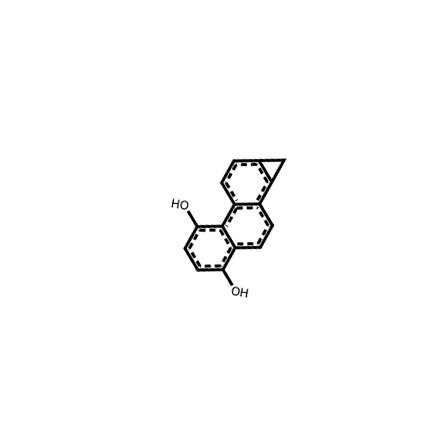 Oc1ccc(O)c2c1ccc1c3c(ccc12)C3